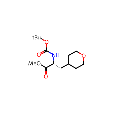 COC(=O)[C@@H](CC1CCOCC1)NC(=O)OC(C)(C)C